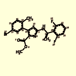 C=C(Nc1nc(C(=O)OC)c(-c2cc(Br)ccc2C)s1)c1c(F)cccc1F